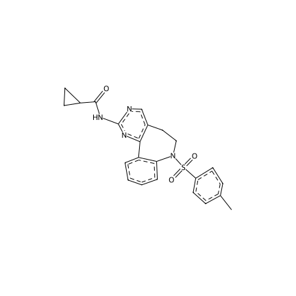 Cc1ccc(S(=O)(=O)N2CCc3cnc(NC(=O)C4CC4)nc3-c3ccccc32)cc1